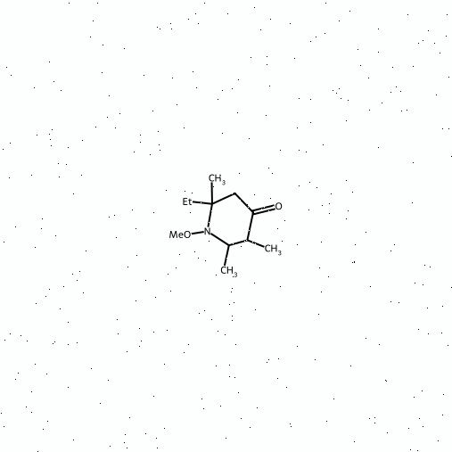 CCC1(C)CC(=O)C(C)C(C)N1OC